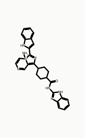 N[N+]12C=CN=CC1=C(C1CCC(C(=O)Nc3nc4ccccc4[nH]3)CC1)N=C2c1cc2ccccc2[nH]1